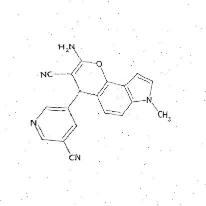 Cn1ccc2c3c(ccc21)C(c1cncc(C#N)c1)C(C#N)=C(N)O3